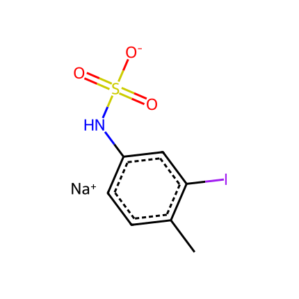 Cc1ccc(NS(=O)(=O)[O-])cc1I.[Na+]